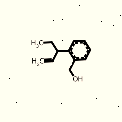 C=CC(CC)c1ccccc1CO